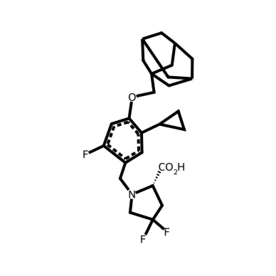 O=C(O)[C@@H]1CC(F)(F)CN1Cc1cc(C2CC2)c(OCC23CC4CC(CC(C4)C2)C3)cc1F